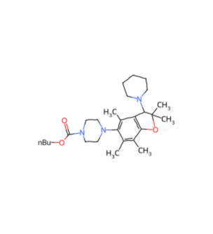 CCCCOC(=O)N1CCN(c2c(C)c(C)c3c(c2C)C(N2CCCCC2)C(C)(C)O3)CC1